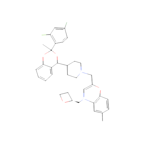 CC1(c2ccc(Cl)cc2F)Oc2ccccc2C(C2CCN(CC3=CN(C[C@@H]4CCO4)c4cc(C(=O)O)ccc4O3)CC2)O1